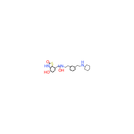 O=c1[nH]c2c(O)ccc(CC(O)NCCc3cccc(CCNC4CCCCC4)c3)c2s1